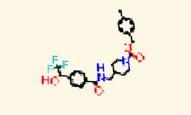 Cc1ccc(COC(=O)N2CCC(CNC(=O)c3ccc(C(O)C(F)(F)F)cc3)CC2)cc1